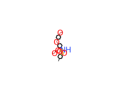 COCOc1cc(Oc2ccc(OC)cc2)ccc1NS(=O)(=O)c1ccc(C)cc1